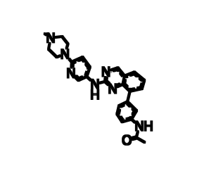 CC(=O)Nc1cccc(-c2cccc3cnc(Nc4ccc(N5CCN(C)CC5)nc4)nc23)c1